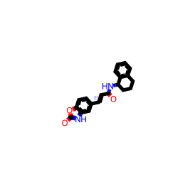 O=C(/C=C/c1ccc2oc(=O)[nH]c2c1)NC1CCCc2ccccc21